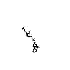 CCc1nc(CC=NOCc2ccc(C3CCCCC3)c(C(F)(F)F)c2)ccc1CNCCC(=O)O